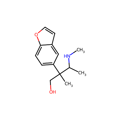 CNC(C)C(C)(CO)c1ccc2occc2c1